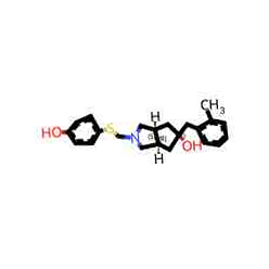 Cc1ccccc1C[C@]1(O)C[C@H]2CN(CSc3ccc(O)cc3)C[C@H]2C1